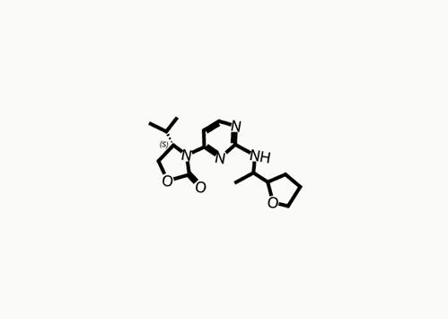 CC(Nc1nccc(N2C(=O)OC[C@@H]2C(C)C)n1)C1CCCO1